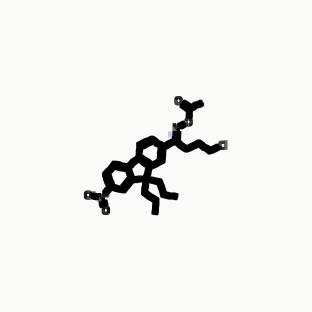 CCCC1(CCC)c2cc(/C(CCCCl)=N/OC(C)=O)ccc2-c2ccc([N+](=O)[O-])cc21